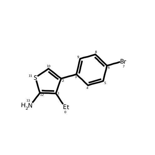 [CH2]Cc1c(-c2ccc(Br)cc2)csc1N